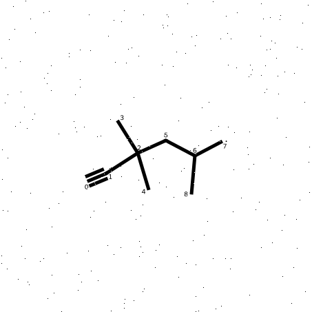 C#CC(C)(C)CC([CH2])C